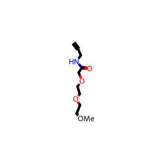 C#CCNC(=O)COCCOCCOC